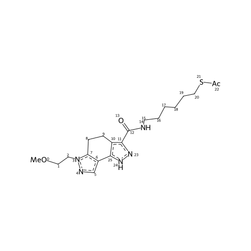 COCCn1ncc2c1CCc1c(C(=O)NCCCCCCSC(C)=O)n[nH]c1-2